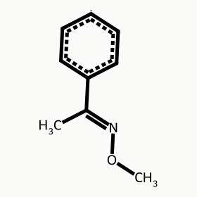 CON=C(C)c1cc[c]cc1